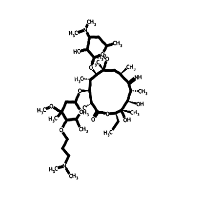 CC[C@H]1OC(=O)[C@H](C)[C@@H](OC2CC(C)(OC)C(OCCCN(C)C)C(C)O2)[C@H](C)[C@@H](OC2OC(C)CC(N(C)C)C2O)[C@](C)(OC)C[C@@H](C)C(=N)[C@H](C)[C@@H](O)[C@]1(C)O